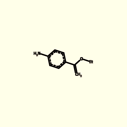 C=C(OCC)c1ccc(N)cc1